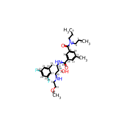 CCCN(CCC)C(=O)c1cc(C)cc(C(=O)N[C@@H](Cc2cc(F)cc(F)c2)[C@H](O)CNCCOC)c1